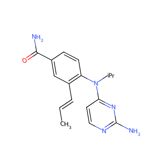 CC=Cc1cc(C(N)=O)ccc1N(c1ccnc(N)n1)C(C)C